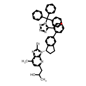 CCc1nc2c(C)cc(CC(C)O)nc2n1[C@H]1CCc2cc(-c3ccccc3-c3nnnn3C(c3ccccc3)(c3ccccc3)c3ccccc3)ccc21